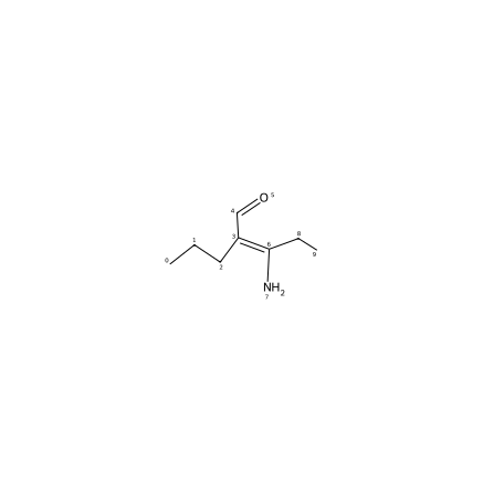 CCCC(C=O)=C(N)CC